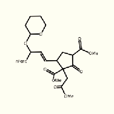 CCCCCC(/C=C/C1CC(C(=O)OC)C(=O)C1(CC(=O)OC)C(=O)OC)OC1CCCCO1